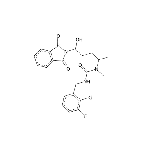 CC(CCC(O)N1C(=O)c2ccccc2C1=O)N(C)C(=O)NCc1cccc(F)c1Cl